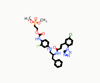 COP(=O)(CCOC(=O)Nc1ccc(NCC(Cc2ccccc2)NC(=O)C=Cc2cc(Cl)ccc2-n2cnnn2)cc1F)OC